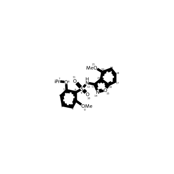 COc1cccc(OC(C)C)c1S(=O)(=O)Nc1noc2cccc(OC)c12